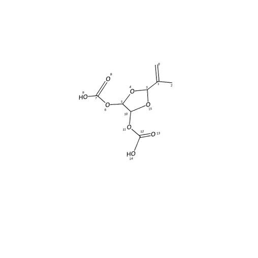 C=C(C)C1OC(OC(=O)O)C(OC(=O)O)O1